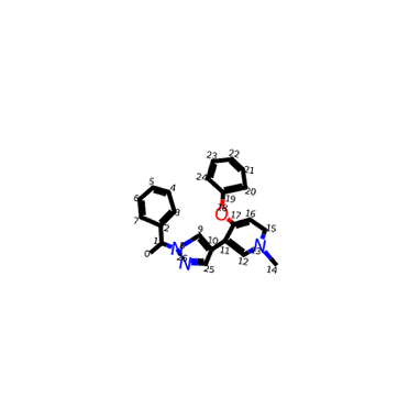 CC(c1ccccc1)n1cc(C2=CN(C)CC=C2Oc2ccccc2)cn1